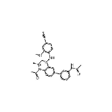 COc1cc(C#N)ccc1N[C@@H]1C[C@H](C)N(C(C)=O)c2ccc(-c3cccc(NC(C)=O)c3)cc21